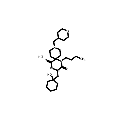 CCCCN1C(=O)[C@@H](CC2(O)CCCCC2)NC(=O)C12CCN(CC1CCOCC1)CC2.Cl